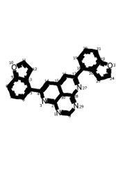 C1=NC2=NC(c3cccc4occc34)=CC3=CC(c4cccc5occc45)=NC(=N1)C32